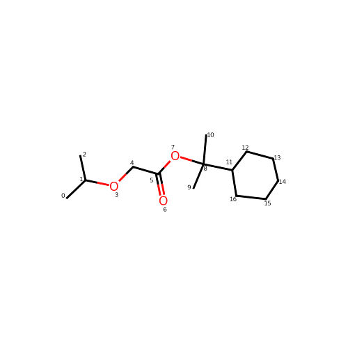 CC(C)OCC(=O)OC(C)(C)C1CCCCC1